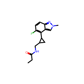 CCC(=O)NCC1CC1c1c(F)ccc2nn(C)cc12